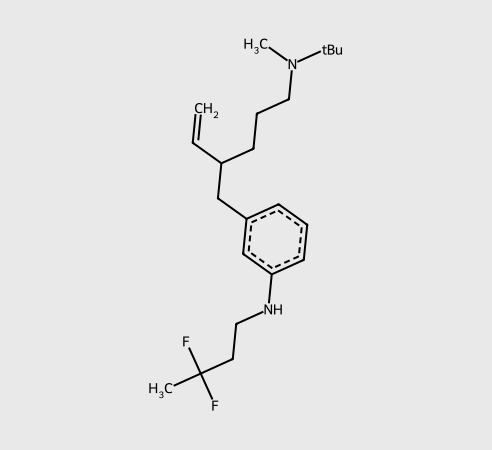 C=CC(CCCN(C)C(C)(C)C)Cc1cccc(NCCC(C)(F)F)c1